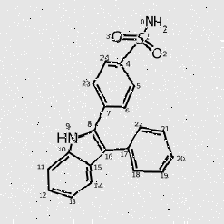 NS(=O)(=O)c1ccc(-c2[nH]c3ccccc3c2-c2ccccc2)cc1